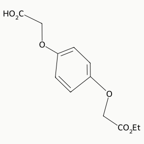 CCOC(=O)COc1ccc(OCC(=O)O)cc1